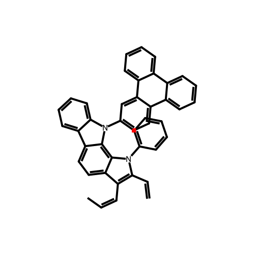 C=Cc1c(/C=C\C)c2ccc3c4ccccc4n(-c4ccc5c6ccccc6c6ccccc6c5c4)c3c2n1-c1ccccc1